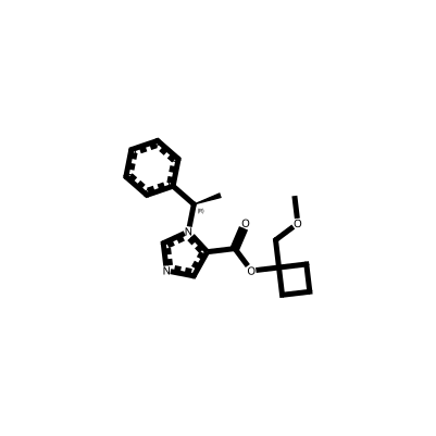 COCC1(OC(=O)c2cncn2[C@H](C)c2ccccc2)CCC1